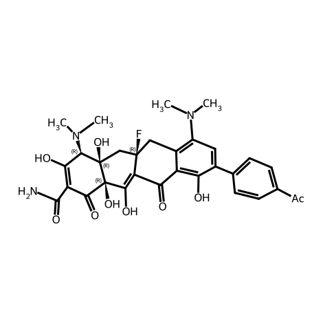 CC(=O)c1ccc(-c2cc(N(C)C)c3c(c2O)C(=O)C2=C(O)[C@]4(O)C(=O)C(C(N)=O)=C(O)[C@@H](N(C)C)[C@]4(O)C[C@]2(F)C3)cc1